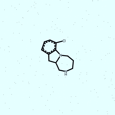 Clc1cccc2c1N1CCCNCC1C2